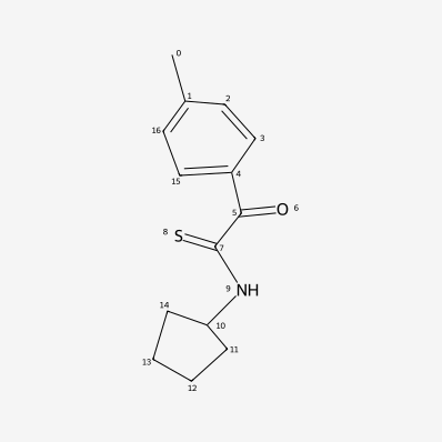 Cc1ccc(C(=O)C(=S)NC2CCCC2)cc1